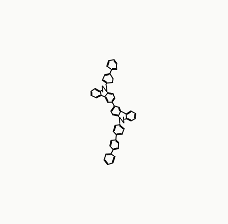 C1=C(c2ccccc2)CCC(n2c3ccccc3c3cc(-c4ccc5c(c4)c4ccccc4n5-c4ccc(-c5ccc(-c6ccccc6)cc5)cc4)ccc32)=C1